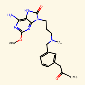 CCCCOc1nc(N)c2[nH]c(=O)n(CCCN(Cc3cccc(CC(=O)OC)c3)C(C)=O)c2n1